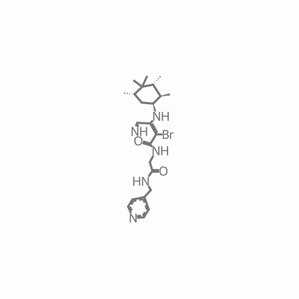 C[C@H]1[C@@H](N/C(C=N)=C(\Br)C(=O)NCC(=O)NCc2ccncc2)C[C@H](C)C(C)(C)[C@@H]1C